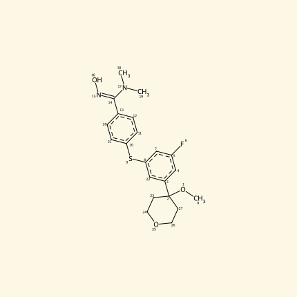 COC1(c2cc(F)cc(Sc3ccc(C(=NO)N(C)C)cc3)c2)CCOCC1